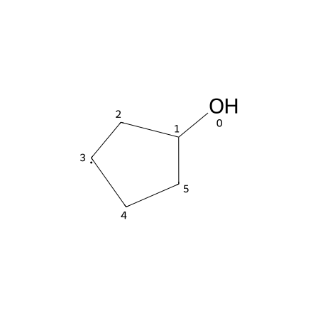 OC1C[CH]CC1